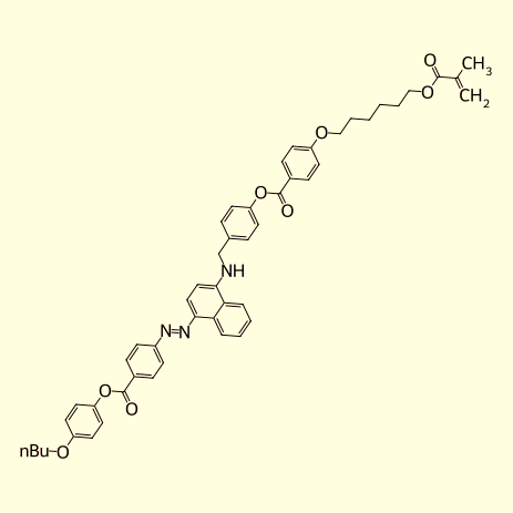 C=C(C)C(=O)OCCCCCCOc1ccc(C(=O)Oc2ccc(CNc3ccc(/N=N/c4ccc(C(=O)Oc5ccc(OCCCC)cc5)cc4)c4ccccc34)cc2)cc1